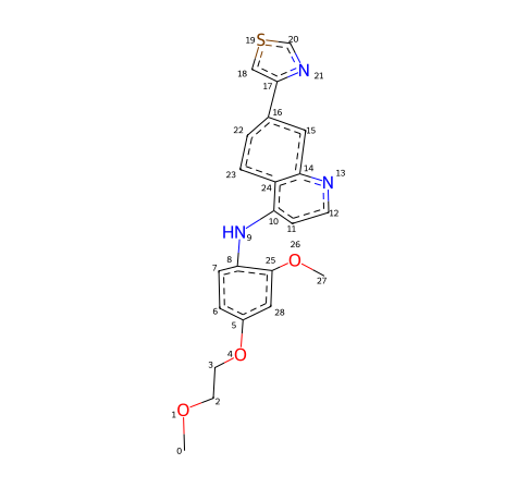 COCCOc1ccc(Nc2ccnc3cc(-c4cscn4)ccc23)c(OC)c1